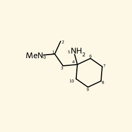 CNC(C)CC1(N)CCCCC1